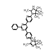 CC1=NC(C)(C)C(C)(C)N1c1ccc(-c2cc(-c3ccc(N4C(C)NC(C)(C)C4(C)C)nc3)nc(-c3ccccc3)n2)cn1